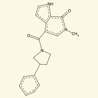 Cn1cc(C(=O)N2CCC(c3ccccc3)C2)c2cc[nH]c2c1=O